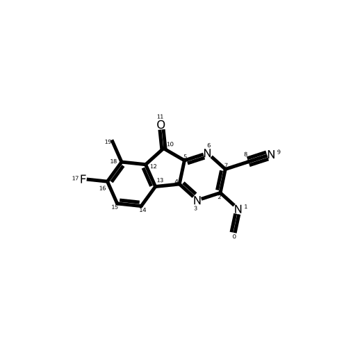 C=Nc1nc2c(nc1C#N)C(=O)c1c-2ccc(F)c1C